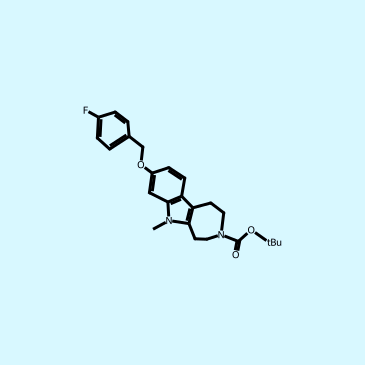 Cn1c2c(c3ccc(OCc4ccc(F)cc4)cc31)CCN(C(=O)OC(C)(C)C)CC2